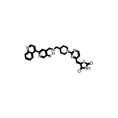 O=C1NC(=O)/C(=C/c2ccnc(N3CCC(CNCc4cc(-c5ccnc6ccccc56)ncc4F)CC3)n2)S1